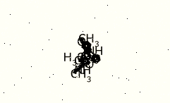 CCNCCN1C(=O)N2C(c3ccccc3)c3[nH]c4ccc(OC)cc4c3CC2(C)C1=O